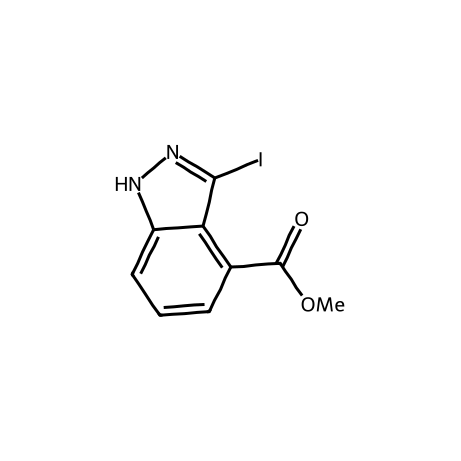 COC(=O)c1cccc2[nH]nc(I)c12